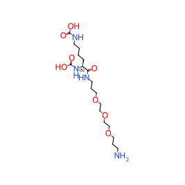 NCCCOCCOCCOCCCNC(=O)[C@H](CCCCNC(=O)O)NC(=O)O